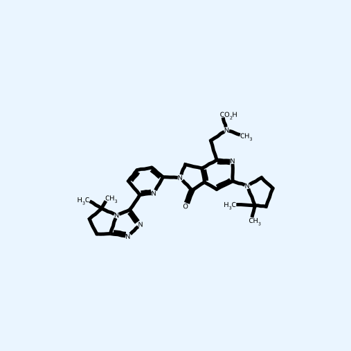 CN(Cc1nc(N2CCCC2(C)C)cc2c1CN(c1cccc(-c3nnc4n3C(C)(C)CC4)n1)C2=O)C(=O)O